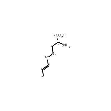 C/C=C/SSC[C@@H](N)C(=O)O